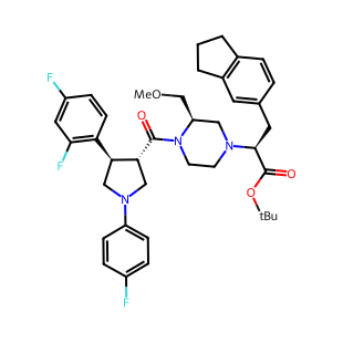 COC[C@H]1CN([C@@H](Cc2ccc3c(c2)CCC3)C(=O)OC(C)(C)C)CCN1C(=O)[C@@H]1CN(c2ccc(F)cc2)C[C@H]1c1ccc(F)cc1F